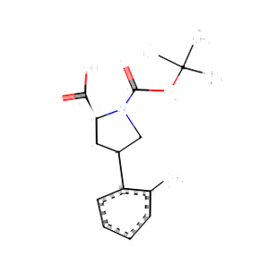 Cc1ccccc1C1C[C@@H](C(=O)O)N(C(=O)OC(C)(C)C)C1